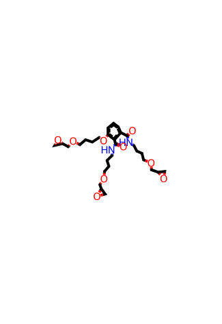 O=C(NCCCCOCC1CO1)c1cccc(OCCCCOCC2CO2)c1C(=O)NCCCCOCC1CO1